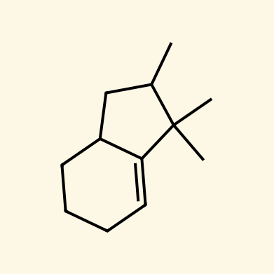 CC1CC2CCCC=C2C1(C)C